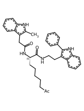 CC(=O)CCCCC[C@H](NC(=O)Cc1c(C)[nH]c2ccccc12)C(=O)NCCc1c(-c2ccccc2)[nH]c2ccccc12